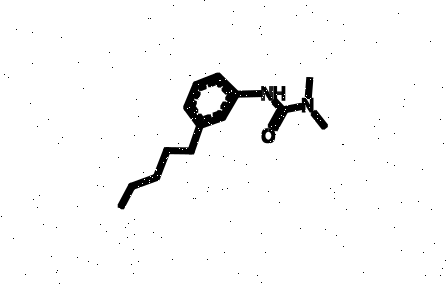 CCCCCc1cccc(NC(=O)N(C)C)c1